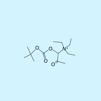 CC[N+](CC)(CC)C(OC(=O)OC(C)(C)C)C(C)=O